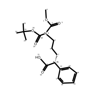 COC(=O)N(CCC[C@@H](C(=O)O)c1ccccc1)C(=O)OC(C)(C)C